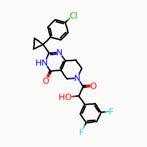 O=C(C(O)c1cc(F)cc(F)c1)N1CCc2nc(C3(c4ccc(Cl)cc4)CC3)[nH]c(=O)c2C1